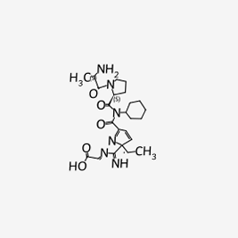 C[CH]C1(C(=N)N=CC(=O)O)C=CC(C(=O)N(C(=O)[C@@H]2CCCN2C(=O)[C@H](C)N)C2CCCCC2)=N1